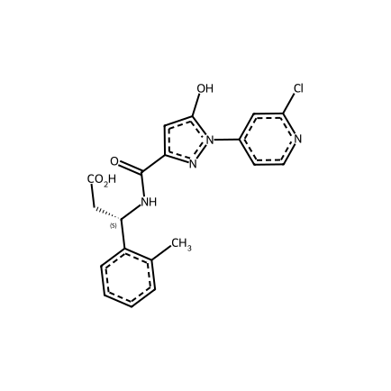 Cc1ccccc1[C@H](CC(=O)O)NC(=O)c1cc(O)n(-c2ccnc(Cl)c2)n1